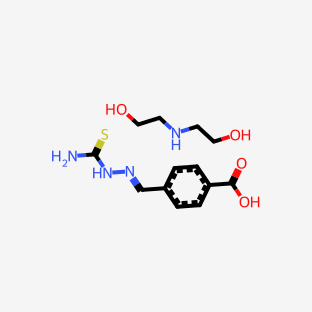 NC(=S)N/N=C/c1ccc(C(=O)O)cc1.OCCNCCO